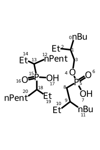 CCCCC(CC)COP(=O)(O)CC(CC)CCCC.CCCCCC(CC)P(=O)(O)C(CC)CCCCC